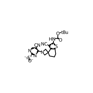 C[S@@+]([O-])c1ncc(C#N)c(N2CC3(CCCc4sc(NC(=O)OC(C)(C)C)c(C#N)c43)C2)n1